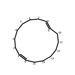 C1=CCCCCCC/C=C/CCCCCC1